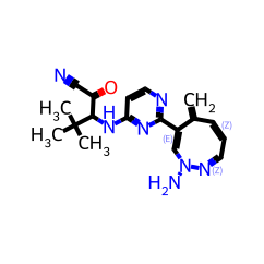 C=C1/C=C\C=N/N(N)/C=C\1c1nccc(NC(C(=O)C#N)C(C)(C)C)n1